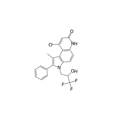 Cc1c(-c2ccccc2)n(CC(O)C(F)(F)F)c2ccc3[nH]c(=O)cc(Cl)c3c12